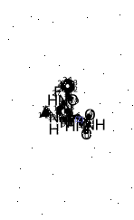 O=C1NC(=O)/C(=C/c2cnn3c(NC4CC4)cc(NC(=O)c4ccccc4F)nc23)N1